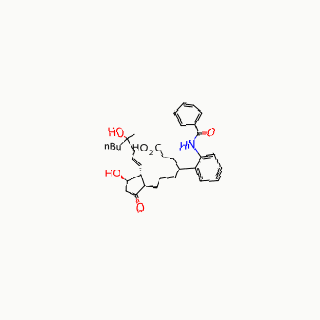 CCCCC(C)(O)C/C=C/[C@H]1[C@H](O)CC(=O)[C@@H]1CCCC(CCC(=O)O)c1ccccc1NC(=O)c1ccccc1